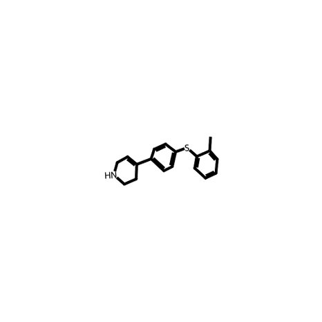 Cc1ccccc1Sc1ccc(C2=CCNCC2)cc1